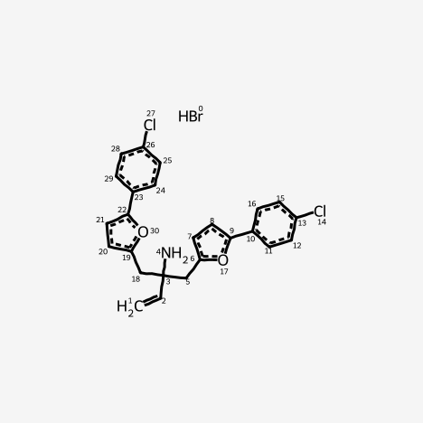 Br.C=CC(N)(Cc1ccc(-c2ccc(Cl)cc2)o1)Cc1ccc(-c2ccc(Cl)cc2)o1